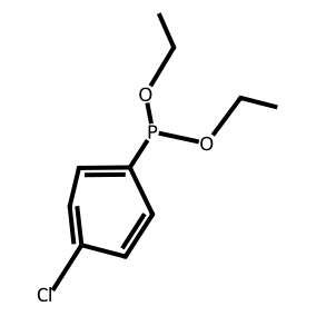 CCOP(OCC)c1ccc(Cl)cc1